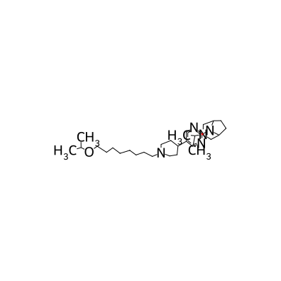 CC(C)OCCCCCCCCN1CCC(c2cnc(N3C4CCC3CN(C(C)C)C4)nc2)CC1